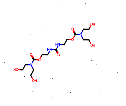 O=C(NCCOC(=O)N(CCO)CCO)NCCOC(=O)N(CCO)CCO